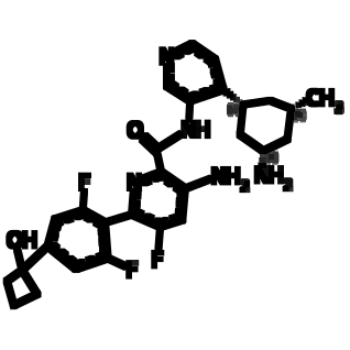 C[C@@H]1C[C@H](N)C[C@H](c2ccncc2NC(=O)c2nc(-c3c(F)cc(C4(O)CCC4)cc3F)c(F)cc2N)C1